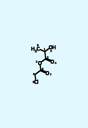 CC(O)C(=O)OC(=O)CCl